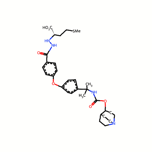 CSCC[C@H](NNC(=O)c1ccc(Oc2ccc(C(C)(C)NC(=O)OC3CCN4CCC3CC4)cc2)cc1)C(=O)O